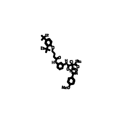 CCC(C)(C)c1ccc(OCCCC(=O)Nc2cccc(NC(=O)C(Cl)(C(=O)C(C)(C)C)n3nnc(-c4ccc(OC)cc4)n3)c2)c(C(C)(C)CC)c1